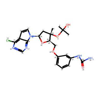 CC(C)(O)O[C@@]1(C)C[C@H](n2ccc3c(Cl)ncnc32)O[C@@H]1COc1cccc(NC(N)=O)c1